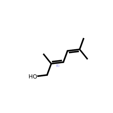 CC(C)=C/C=C(\C)CO